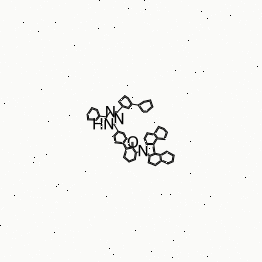 c1ccc(-c2cccc(C3=NC(c4ccccc4)NC(c4ccc5c(c4)oc4c(-n6c7ccc8ccccc8c7c7c8ccccc8ccc76)cccc45)=N3)c2)cc1